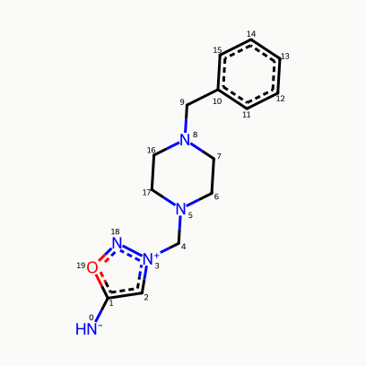 [NH-]c1c[n+](CN2CCN(Cc3ccccc3)CC2)no1